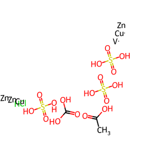 CC(=O)O.Cl.O=C(O)O.O=S(=O)(O)O.O=S(=O)(O)O.O=S(=O)(O)O.[Cu].[Cu].[V].[Zn].[Zn].[Zn]